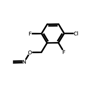 C=NOCc1c(F)ccc(Cl)c1F